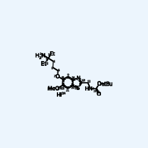 CCC(N)(CC)CCCOc1cc2nc(CNC(=O)OC(C)(C)C)sc2cc1OC.I